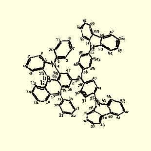 c1ccc(N2c3ccccc3B3c4ccccc4N(c4ccccc4)c4cc(N(c5ccc(-n6c7ccccc7c7ccccc76)cc5)c5ccc(-n6c7ccccc7c7ccccc76)cc5)cc2c43)cc1